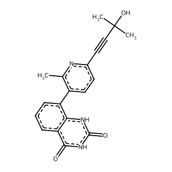 Cc1nc(C#CC(C)(C)O)ccc1-c1cccc2c(=O)[nH]c(=O)[nH]c12